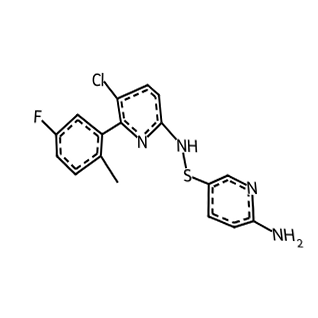 Cc1ccc(F)cc1-c1nc(NSc2ccc(N)nc2)ccc1Cl